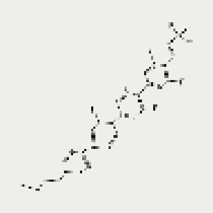 CCCCc1cnc(-c2ccc(-c3cc(F)c(-c4cc(F)c(/C=C/C(F)(F)F)c(F)c4)c(F)c3)c(F)c2)nc1